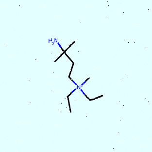 CC[N+](C)(CC)CCC(C)(C)N